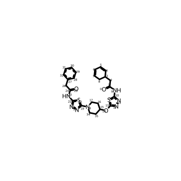 O=C(CC1C=CC=CC1)Nc1nnc(OC2CCN(c3nnc(NC(=O)Cc4ccccc4)s3)CC2)s1